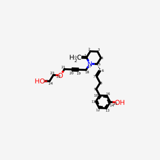 C=C1CCC[C@H](/C=C/CCc2cccc(O)c2)N1CC#CCOCCO